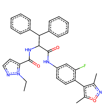 CCn1nccc1C(=O)NC(C(=O)Nc1ccc(-c2c(C)noc2C)c(F)c1)C(c1ccccc1)c1ccccc1